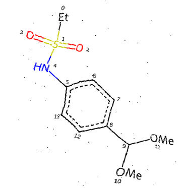 CCS(=O)(=O)Nc1ccc(C(OC)OC)cc1